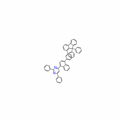 c1ccc(-c2cc(-c3ccc(-c4cccc(-c5cccc6c5C(c5ccccc5)(c5ccccc5)c5ccccc5-6)c4)c4ccccc34)nc(-c3ccccc3)n2)cc1